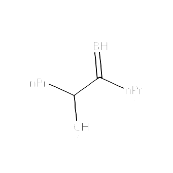 B=C(CCC)C(C)CCC